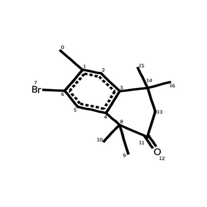 Cc1cc2c(cc1Br)C(C)(C)C(=O)CC2(C)C